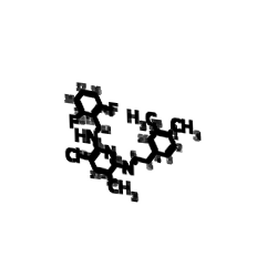 Cc1ccc(C/C=N/c2nc(NCc3c(F)cccc3F)c(Cl)cc2C)cc1C